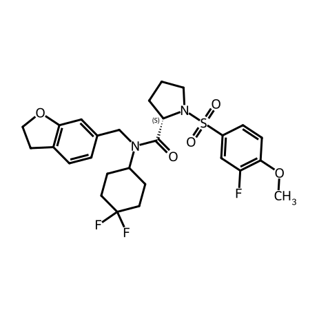 COc1ccc(S(=O)(=O)N2CCC[C@H]2C(=O)N(Cc2ccc3c(c2)OCC3)C2CCC(F)(F)CC2)cc1F